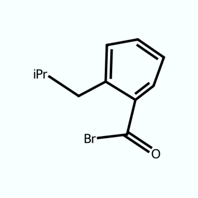 CC(C)Cc1ccccc1C(=O)Br